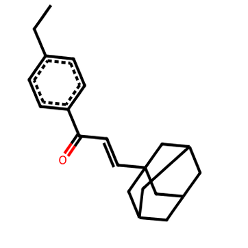 CCc1ccc(C(=O)C=CC23CC4CC(CC(C4)C2)C3)cc1